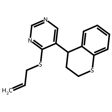 C=CCSc1ncncc1C1CCSc2ccccc21